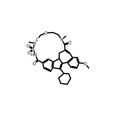 COc1ccc2c(c1)C=C1CC3C2=C(C2CCCCC2)c2ccc(cc23)C(=O)NS(=O)(=O)N(C)CCOCCN(C)C1=O